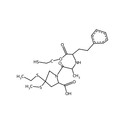 CCSC1(SC)CC(C(=O)O)N(C(=O)C(C)NC(CCc2ccccc2)C(=O)OCCS)C1